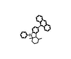 CC1CCCC2(C)C1c1cc(-c3c4ccccc4cc4ccccc34)ccc1N2c1ccccc1